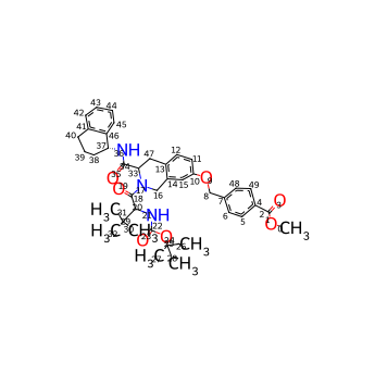 COC(=O)c1ccc(COc2ccc3c(c2)CN(C(=O)C(NC(=O)OC(C)(C)C)C(C)(C)C)C(C(=O)N[C@@H]2CCCc4ccccc42)C3)cc1